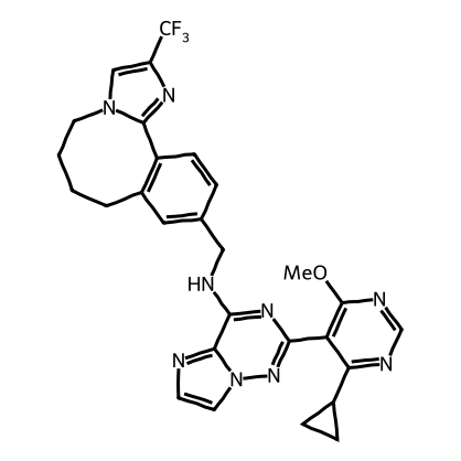 COc1ncnc(C2CC2)c1-c1nc(NCc2ccc3c(c2)CCCCn2cc(C(F)(F)F)nc2-3)c2nccn2n1